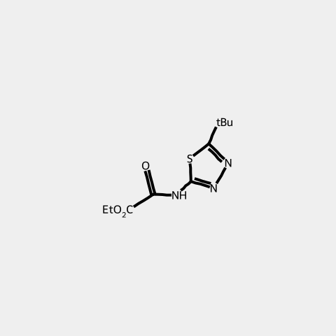 CCOC(=O)C(=O)Nc1nnc(C(C)(C)C)s1